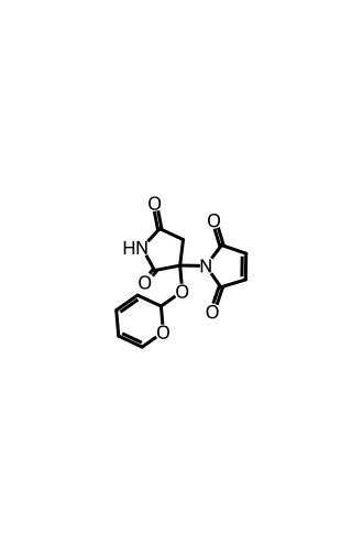 O=C1CC(OC2C=CC=CO2)(N2C(=O)C=CC2=O)C(=O)N1